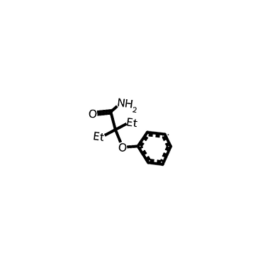 CCC(CC)(Oc1c[c]ccc1)C(N)=O